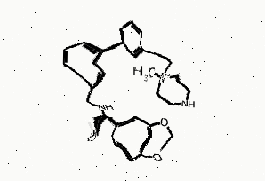 C[N+]1(Cc2cccc(-c3cccc(CNC(=O)c4ccc5c(c4)OCO5)c3)c2)CCNCC1